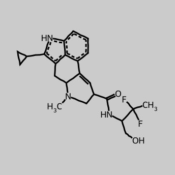 CN1CC(C(=O)NC(CO)C(C)(F)F)C=C2c3cccc4[nH]c(C5CC5)c(c34)CC21